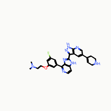 CN(C)CCOc1cc(F)cc(-c2nccc3[nH]c(-c4n[nH]c5ncc(C6=CCNCC6)cc45)nc23)c1